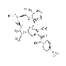 C=CC(=O)ON1C[C@H](F)C[C@H]1COc1c(N)ncnc1-c1cc(F)cc(NC(=O)c2ccc(C3CC3)cc2F)c1C